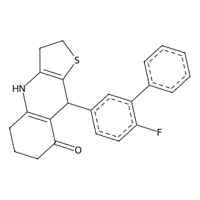 O=C1CCCC2=C1C(c1ccc(F)c(-c3ccccc3)c1)C1=C(CCS1)N2